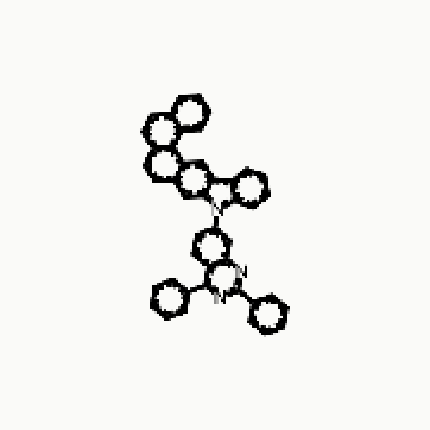 c1ccc(-c2nc(-c3ccccc3)c3ccc(-n4c5ccccc5c5cc6c(ccc7ccc8ccccc8c76)cc54)cc3n2)cc1